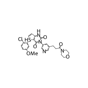 COc1ccc(Cl)c([SH]2C=Cc3[nH]c(=O)n(-c4cncc(CCC(=O)N5CCOCC5)c4)c(=O)c32)c1